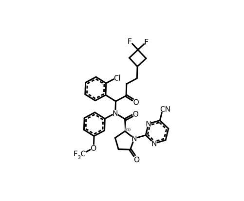 N#Cc1ccnc(N2C(=O)CC[C@H]2C(=O)N(c2cccc(OC(F)(F)F)c2)C(C(=O)CCC2CC(F)(F)C2)c2ccccc2Cl)n1